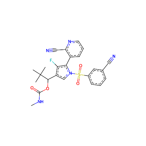 CNC(=O)OC(c1cn(S(=O)(=O)c2cccc(C#N)c2)c(-c2cccnc2C#N)c1F)C(C)(C)C